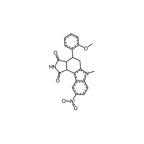 COc1ccccc1C1Cc2c(c3cc([N+](=O)[O-])ccc3n2C)C2C(=O)NC(=O)C12